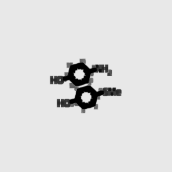 CSc1ccc(O)cc1.Nc1ccc(O)cc1